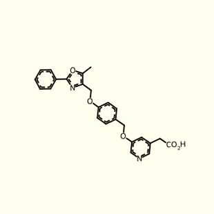 Cc1oc(-c2ccccc2)nc1COc1ccc(COc2cncc(CC(=O)O)c2)cc1